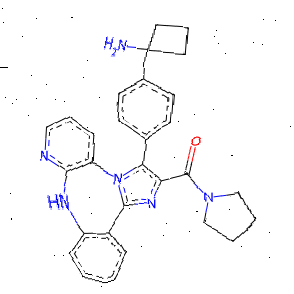 NC1(c2ccc(-c3c(C(=O)N4CCCC4)nc4n3-c3cccnc3Nc3ccccc3-4)cc2)CCC1